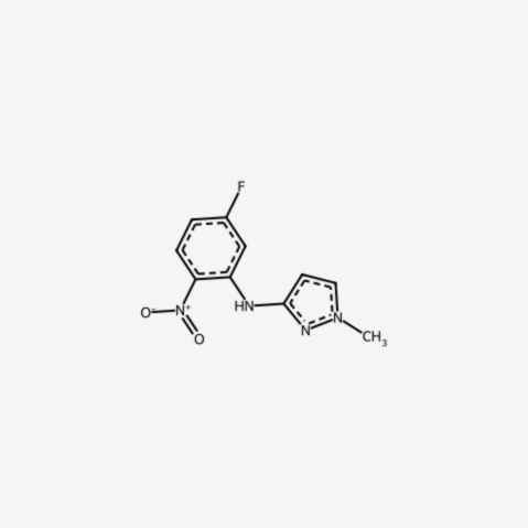 Cn1ccc(Nc2cc(F)ccc2[N+](=O)[O-])n1